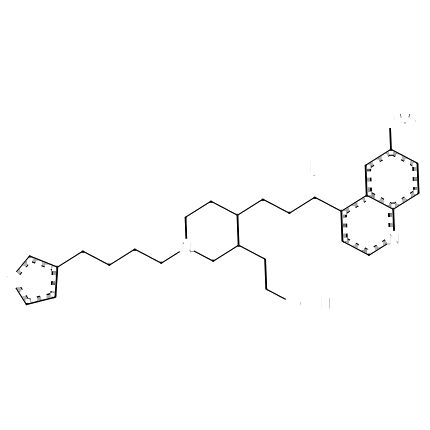 COc1ccc2nccc([C@@H](F)CCC3CCN(CCCCc4ccsc4)CC3CCC(=O)O)c2c1